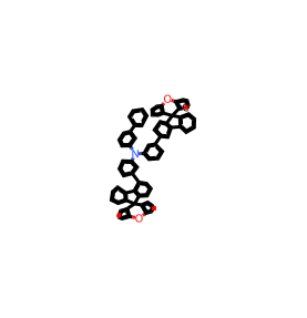 c1ccc(-c2cccc(N(c3cccc(-c4ccc5c(c4)-c4ccccc4C54c5ccccc5Oc5ccccc54)c3)c3cccc(-c4cccc5c4-c4ccccc4C54c5ccccc5Oc5ccccc54)c3)c2)cc1